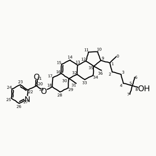 CC(CCCC(C)(C)O)C1CCC2C3CC=C4CC(OC(=O)c5ccccn5)CCC4(C)C3CCC12C